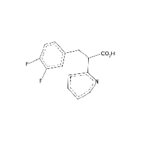 O=C(O)C(Cc1ccc(F)c(F)c1)c1ccccn1